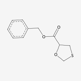 O=C(OCc1ccccc1)C1CSCO1